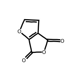 O=C1OC(=O)c2occc21